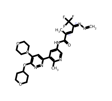 C=N/N=C(\C=C(/C)C(=O)Nc1cnc(C)c(-c2cc(N3CCOCC3)c(OC3CCOCC3)nn2)c1)C(F)(F)F